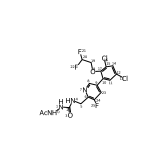 CC(=O)NNC(=O)NCc1ncc(-c2cc(Cl)cc(Cl)c2OCC(F)F)cc1F